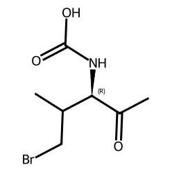 CC(=O)[C@H](NC(=O)O)C(C)CBr